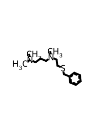 CN(C)CCCN(C)CCSCc1ccccc1